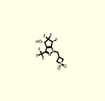 O=S1(=O)CC(Cn2nc(C(F)(F)F)c3c2[C@H](F)C(F)(F)[C@H]3O)C1